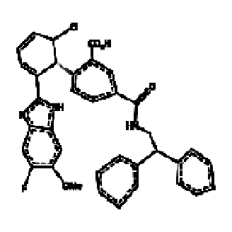 COc1cc2[nH]c(C3=CC=CC(Cl)[C@@H]3c3ccc(C(=O)NCC(c4ccccc4)c4ccccc4)cc3C(=O)O)nc2cc1F